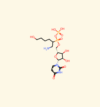 NCC(CCCCO)P(=O)(OC[C@H]1O[C@@H](n2ccc(=O)[nH]c2=O)[C@H](O)[C@@H]1O)OP(=O)(O)O